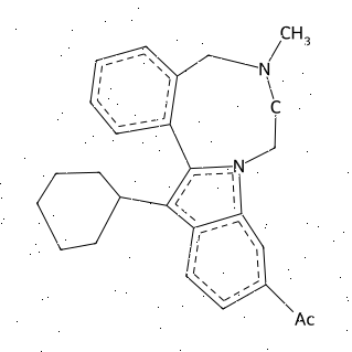 CC(=O)c1ccc2c(C3CCCCC3)c3n(c2c1)CCN(C)Cc1ccccc1-3